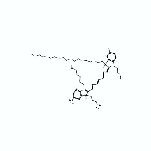 COCCOCCOCCOCCOCCOCCC1(C)\C(=C/C=C/C=C/C=C/C2=[N+](CCCCCC(=O)O)c3ccc(S(=O)(=O)O)cc3C2(C)CCCS(=O)(=O)O)N(CCOC)c2ccc(C)cc21